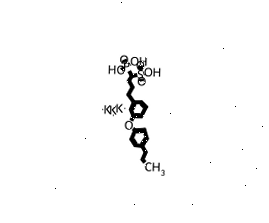 CCCc1ccc(Oc2cccc(CCCC(P(=O)(O)O)S(=O)(=O)O)c2)cc1.[K].[K].[K]